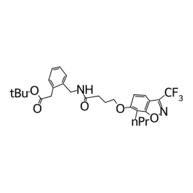 CCCc1c(OCCCC(=O)NCc2ccccc2CC(=O)OC(C)(C)C)ccc2c(C(F)(F)F)noc12